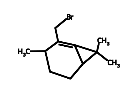 CC1CCC2C(=C1CBr)C2(C)C